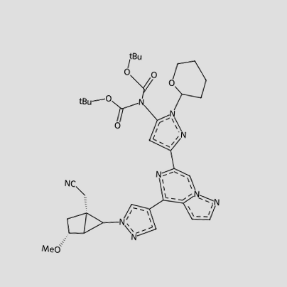 CO[C@@H]1C[C@]2(CC#N)C1C2n1cc(-c2nc(-c3cc(N(C(=O)OC(C)(C)C)C(=O)OC(C)(C)C)n(C4CCCCO4)n3)cn3nccc23)cn1